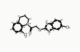 O=C(CSc1nc2cc(Cl)ccc2s1)N1CCCc2cccc(Cl)c21